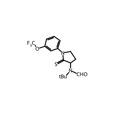 CC(C)(C)N(C=O)C1CCN(c2cccc(OC(F)(F)F)c2)C1=S